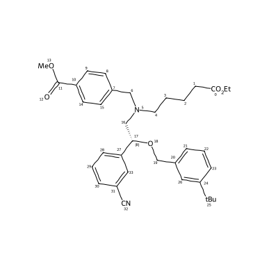 CCOC(=O)CCCCN(Cc1ccc(C(=O)OC)cc1)C[C@H](OCc1cccc(C(C)(C)C)c1)c1cccc(C#N)c1